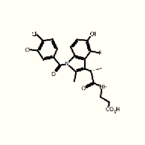 Cc1c([C@H](C)C(=O)NCCC(=O)O)c2c(F)c(O)ccc2n1C(=O)c1ccc(Cl)c(Cl)c1